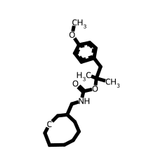 COc1ccc(CC(C)(C)OC(=O)NCC2CCCCCCCC2)cc1